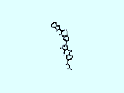 CC(CN(C)C)c1ccc(Nc2cc(-c3ccc(F)c(NC(=O)c4cc5ccccc5s4)c3)n[nH]c2=O)nc1